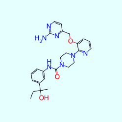 CCC(C)(O)c1cccc(NC(=O)N2CCN(c3ncccc3OCc3ccnc(N)n3)CC2)c1